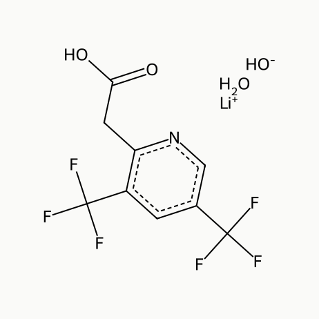 O.O=C(O)Cc1ncc(C(F)(F)F)cc1C(F)(F)F.[Li+].[OH-]